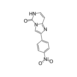 O=c1[nH]ccc2nc(-c3ccc([N+](=O)[O-])cc3)cn12